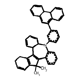 CC1(C)C2=C(CCC=C2)C2=C1c1ccccc1N(c1cccc(C3=C4C=CC=CC4C4C=CC=CC4=C3)c1)C1C=CC=CC21